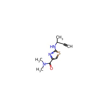 C#CC(C)Nc1nc(C(=O)N(C)C)cs1